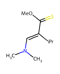 COC(=S)C(=CN(C)C)C(C)C